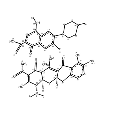 CN(C)[C@@H]1C(O)=C(C(N)=O)C(=O)[C@@]2(O)C(O)=C3C(=O)c4c(ccc(N)c4O)C[C@H]3C[C@@H]12.CNn1cc(C(=O)O)c(=O)c2cc(F)c(N3CCN(C)CC3)cc21